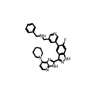 Fc1cc2[nH]nc(-c3nc4c(N5CCCCC5)ccnc4[nH]3)c2cc1-c1cncc(CNCc2ccccc2)c1